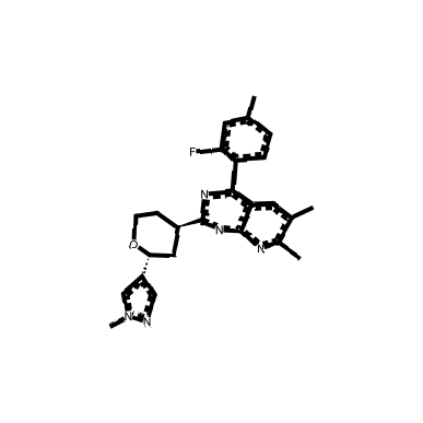 Cc1ccc(-c2nc([C@@H]3CCO[C@@H](c4cnn(C)c4)C3)nc3nc(C)c(C)cc23)c(F)c1